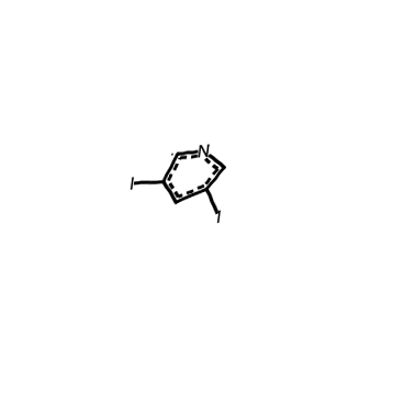 Ic1[c]ncc(I)c1